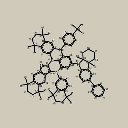 CC(C)(C)c1ccc(N2c3cc4c(cc3B3c5oc6cc7c(cc6c5N(c5ccc6c(c5)C(C)(C)CCC6(C)C)c5cc(N6c8ccc(-c9ccccc9)cc8C8(C)CCCCC68C)cc2c53)C(C)(C)CCC7(C)C)C(C)(C)CCC4(C)C)cc1